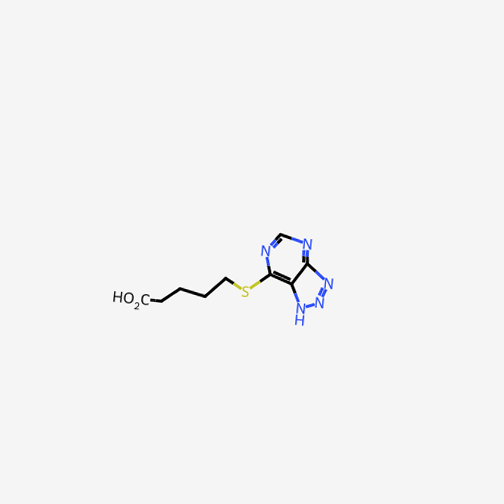 O=C(O)CCCCSc1ncnc2nn[nH]c12